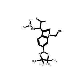 CC(C)(C)Cn1cc(C(N[S+]([O-])C(C)(C)C)C(F)F)c2ccc(B3OC(C)(C)C(C)(C)O3)cc21